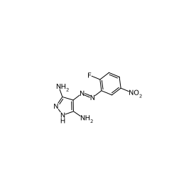 Nc1n[nH]c(N)c1N=Nc1cc([N+](=O)[O-])ccc1F